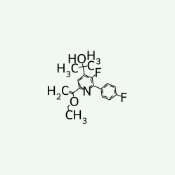 C=C(OCC)c1cc(C(C)(C)O)c(F)c(-c2ccc(F)cc2)n1